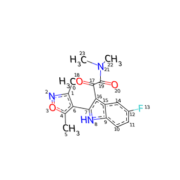 Cc1noc(C)c1-c1[nH]c2ccc(F)cc2c1C(=O)C(=O)N(C)C